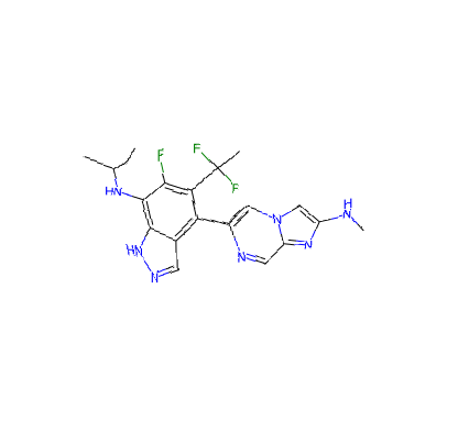 CNc1cn2cc(-c3c(C(C)(F)F)c(F)c(NC(C)C)c4[nH]ncc34)ncc2n1